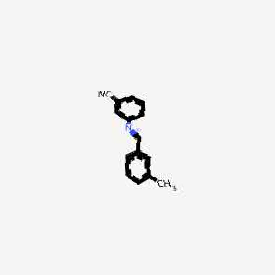 Cc1cccc(/C=N/c2cccc(C#N)c2)c1